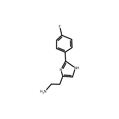 NCCc1c[nH]c(-c2ccc(F)cc2)n1